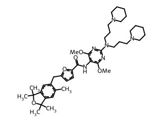 COc1nc(N(CCCN2CCCCC2)CCCN2CCCCC2)nc(OC)c1NC(=O)c1ccc(Cc2cc3c(cc2C)C(C)(C)OC3(C)C)o1